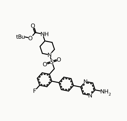 CC(C)(C)OC(=O)NC1CCN(S(=O)(=O)Cc2ccc(F)cc2-c2ccc(-c3cnc(N)cn3)cc2)CC1